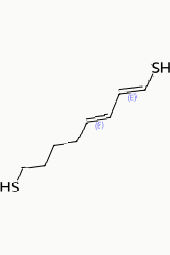 S/C=C/C=C/CCCCS